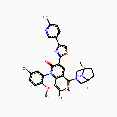 CCOc1ccc(Cl)cc1-n1c(C=C(C)C)c(C(=O)N2C[C@H]3CC[C@@H](C2)N3)cc(-c2nc(-c3ccc(C(F)(F)F)nc3)cs2)c1=O